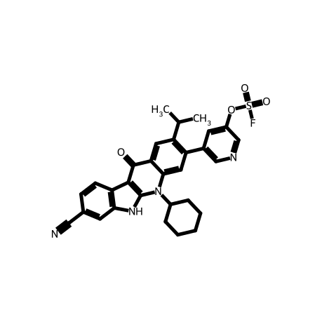 CC(C)c1cc2c(=O)c3c4ccc(C#N)cc4[nH]c3n(C3CCCCC3)c2cc1-c1cncc(OS(=O)(=O)F)c1